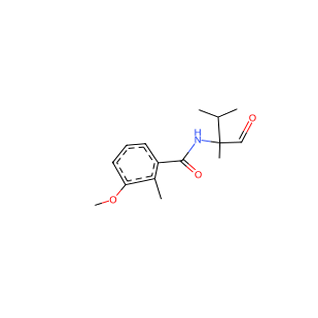 COc1cccc(C(=O)NC(C)(C=O)C(C)C)c1C